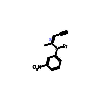 C#C/C=C(/C)N(CC)c1cccc([N+](=O)[O-])c1